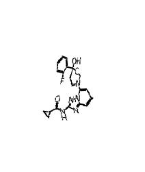 O=C(Nc1nc2cccc(N3CCC(O)(c4ccccc4F)CC3)n2n1)C1CC1